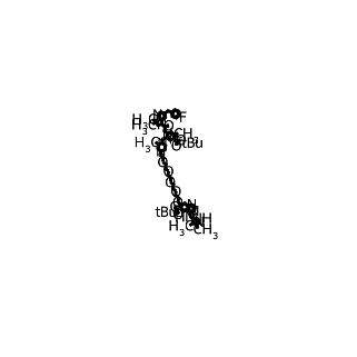 Cc1n[nH]c(Nc2ncnc3cc(OCCOCCOCCOCCOCCN4CCN(CC5CN(C(=O)OC(C)(C)C)C(C)CN5CC(=O)N5CC(C)(C)c6ncc(Cc7ccc(F)cc7)cc65)C(C)C4)c(S(=O)(=O)C(C)(C)C)cc23)c1C